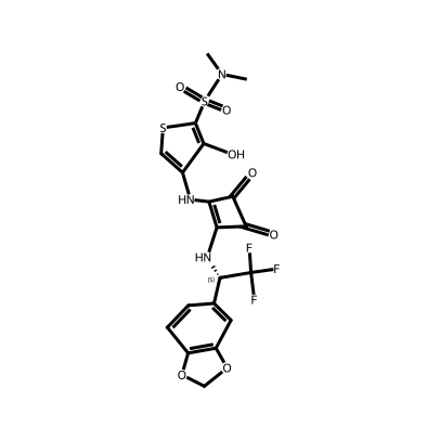 CN(C)S(=O)(=O)c1scc(Nc2c(N[C@@H](c3ccc4c(c3)OCO4)C(F)(F)F)c(=O)c2=O)c1O